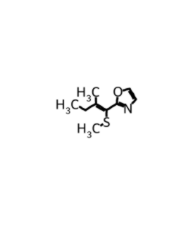 CC/C(C)=C(\SC)c1ncco1